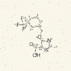 Cc1nc(OCc2cccc(C(F)(F)F)c2)c(C(=O)O)s1